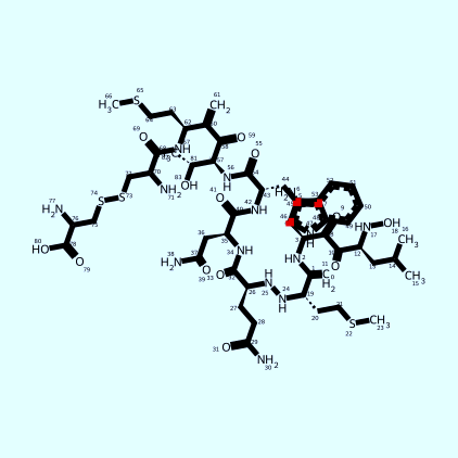 C=C(N[C@@H](CC(N)=O)C(=O)C(=O)[C@H](CC(C)C)NO)[C@H](CCSC)NN[C@@H](CCC(N)=O)C(=O)N[C@@H](CC(N)=O)C(=O)N[C@@H](Cc1c[nH]c2ccccc12)C(=O)N[C@H](C(=O)C(=C)[C@H](CCSC)NC(=O)C(N)CSSCC(N)C(=O)O)[C@@H](C)O